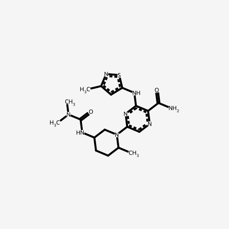 Cc1cc(Nc2nc(N3CC(NC(=O)N(C)C)CCC3C)cnc2C(N)=O)sn1